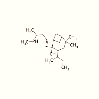 CCC(C)C1CC(C)(C)C2CC3(C2)C(CC(C)PC)=CC13C